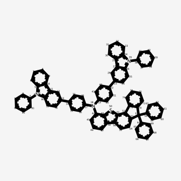 c1ccc(-n2c3ccccc3c3cc(-c4ccc(N(c5ccc(-c6ccc7c(c6)c6ccccc6n7-c6ccccc6)cc5)c5cccc6c5sc5c7c(ccc56)C(c5ccccc5)(c5ccccc5)c5ccccc5-7)cc4)ccc32)cc1